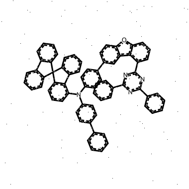 c1ccc(-c2ccc(N(c3ccc(-c4ccc5oc6cccc(-c7nc(-c8ccccc8)nc(-c8ccccc8)n7)c6c5c4)cc3)c3cccc4c3-c3ccccc3C43c4ccccc4-c4ccccc43)cc2)cc1